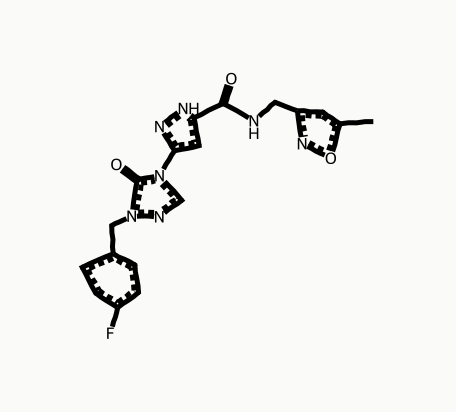 Cc1cc(CNC(=O)c2cc(-n3cnn(Cc4ccc(F)cc4)c3=O)n[nH]2)no1